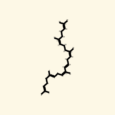 CC(C)=CCCC(C)=CCC=C(C)C=CCC=C(C)CCC=C(C)CCC=C(C)C